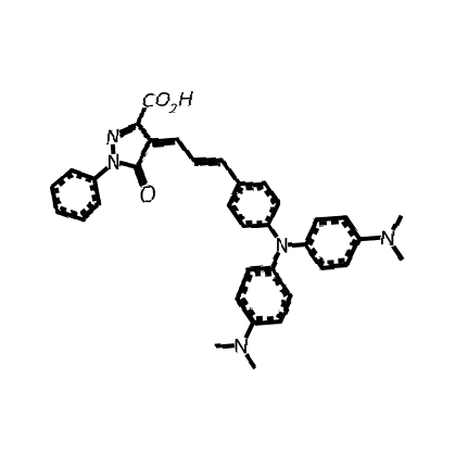 CN(C)c1ccc(N(c2ccc(/C=C/C=C3\C(=O)N(c4ccccc4)N=C3C(=O)O)cc2)c2ccc(N(C)C)cc2)cc1